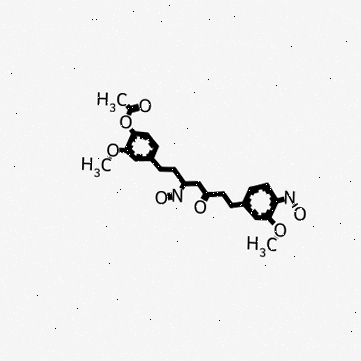 COc1cc(CCC(=O)CC(CCc2ccc(OC(C)=O)c(OC)c2)N=O)ccc1N=O